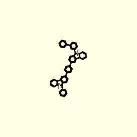 C1=CC2c3cc(-c4ccc(-c5ccc6c(c5)C5C=CC=CC5N6c5cccc(-c6ccccc6)c5)cc4)ccc3N(c3ccccc3)C2C=C1